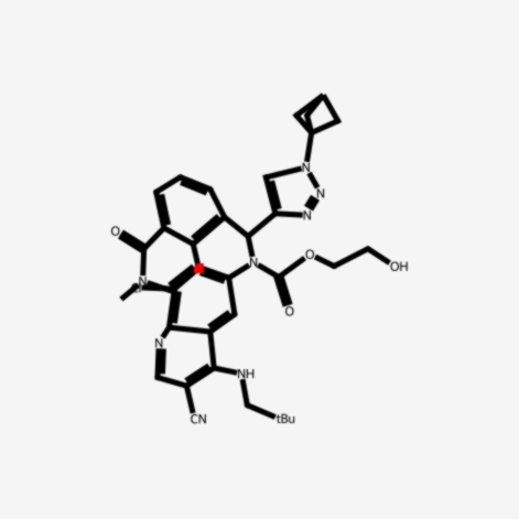 Cn1ccc2c(C(c3cn(C45CC(C4)C5)nn3)N(C(=O)OCCO)c3cc(Cl)c4ncc(C#N)c(NCC(C)(C)C)c4c3)cccc2c1=O